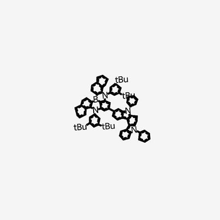 CC(C)(C)c1cc(N2c3cc(-c4ccc5c6c7c8ccccc8n(-c8ccccc8)c7ccc6n(-c6ccccc6)c5c4)cc4c3B(c3ccc5ccccc5c32)c2ccc3ccccc3c2N4c2cc(C(C)(C)C)cc(C(C)(C)C)c2)cc(C(C)(C)C)c1